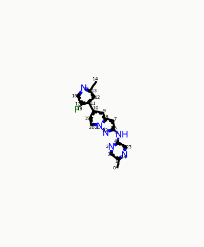 Cc1cnc(Nc2cc3cc(-c4cc(C)ncc4F)ccn3n2)cn1